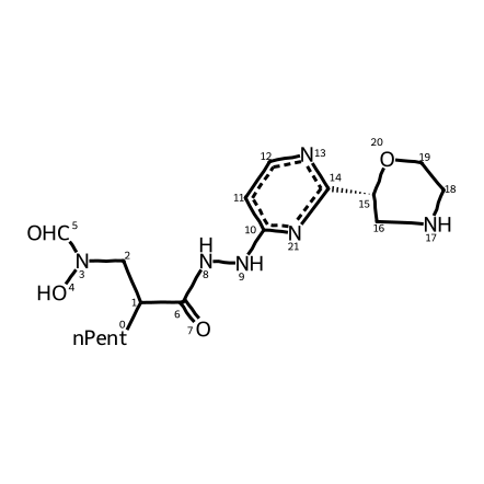 CCCCCC(CN(O)C=O)C(=O)NNc1ccnc([C@H]2CNCCO2)n1